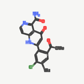 COC(=O)c1cc(C(C)(C)C)c(Cl)cc1-c1cc(=O)c2c(C(N)=O)nccc2[nH]1